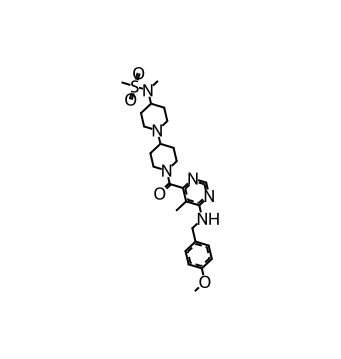 COc1ccc(CNc2ncnc(C(=O)N3CCC(N4CCC(N(C)S(C)(=O)=O)CC4)CC3)c2C)cc1